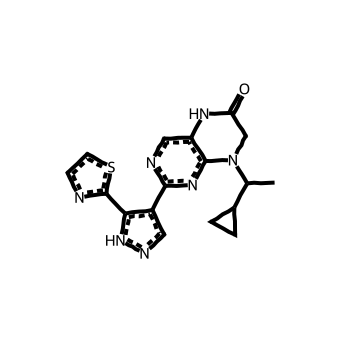 CC(C1CC1)N1CC(=O)Nc2cnc(-c3cn[nH]c3-c3nccs3)nc21